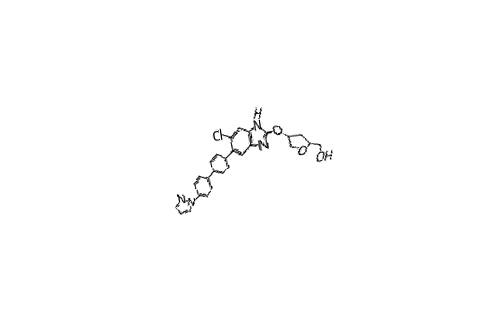 OC[C@@H]1CC(Oc2nc3cc(-c4ccc(-c5ccc(-n6cccn6)cc5)cc4)c(Cl)cc3[nH]2)CO1